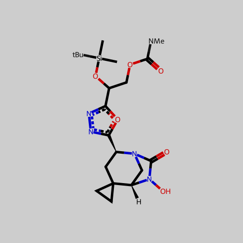 CNC(=O)OCC(O[Si](C)(C)C(C)(C)C)c1nnc([C@@H]2CC3(CC3)[C@@H]3CN2C(=O)N3O)o1